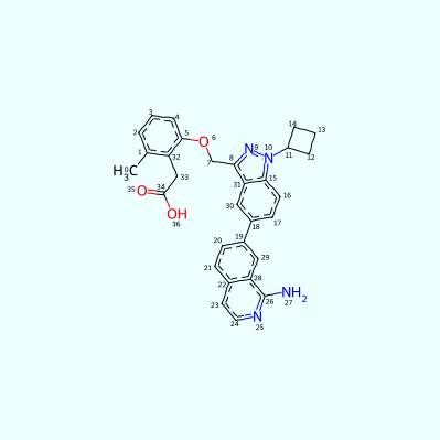 Cc1cccc(OCc2nn(C3CCC3)c3ccc(-c4ccc5ccnc(N)c5c4)cc23)c1CC(=O)O